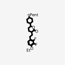 CCCCCC1CCC(C2CCC(CCc3ccc(OCC)c(F)c3F)C(=O)O2)CC1